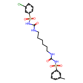 Cc1cccc(S(=O)(=O)NC(=O)NCCCCCCNC(=O)NS(=O)(=O)c2cccc(Cl)c2)c1